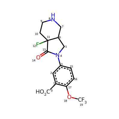 O=C(O)c1cc(N2CC3CNCCC3(F)C2=O)ccc1OC(F)(F)F